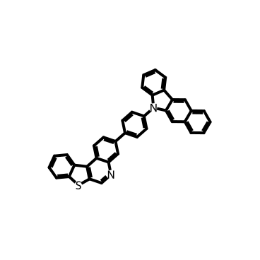 c1ccc2cc3c(cc2c1)c1ccccc1n3-c1ccc(-c2ccc3c(c2)ncc2sc4ccccc4c23)cc1